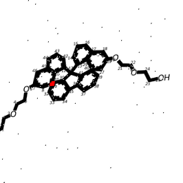 OCCOCCOc1ccc2c(C3(c4cccc5cc(OCCOCCO)ccc45)c4ccccc4-c4ccccc43)cccc2c1